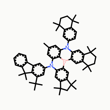 Cc1cc2c3c(c1)N(c1cc4c(c(C(C)(C)C)c1)C(C)(C)c1ccccc1-4)c1cc4c(cc1B3c1cc3c(cc1N2c1ccc2c(c1)C(C)(C)CCC2(C)C)C(C)(C)CCC3(C)C)C(C)(C)CC4(C)C